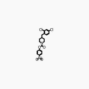 O=C(Oc1ccc([N+](=O)[O-])cc1)N1CCC(Cc2ccc(Cl)cc2Cl)CC1